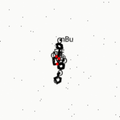 CCCCOc1ccc(C(F)(F)[C@@H](C(=O)N2C3CCC2CC(N)C3)N(C)S(=O)(=O)c2ccc(OCC3CCCCC3)cc2)cc1